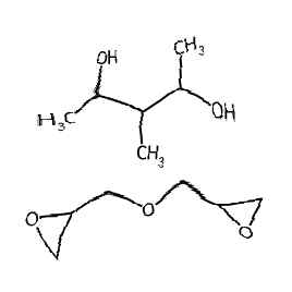 C(OCC1CO1)C1CO1.CC(O)C(C)C(C)O